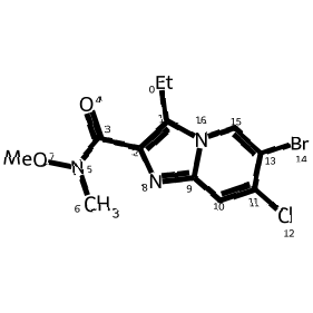 CCc1c(C(=O)N(C)OC)nc2cc(Cl)c(Br)cn12